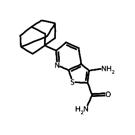 NC(=O)c1sc2nc(C34CC5CC(CC(C5)C3)C4)ccc2c1N